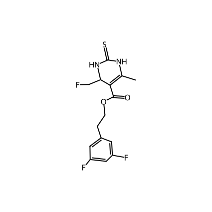 CC1=C(C(=O)OCCc2cc(F)cc(F)c2)C(CF)NC(=S)N1